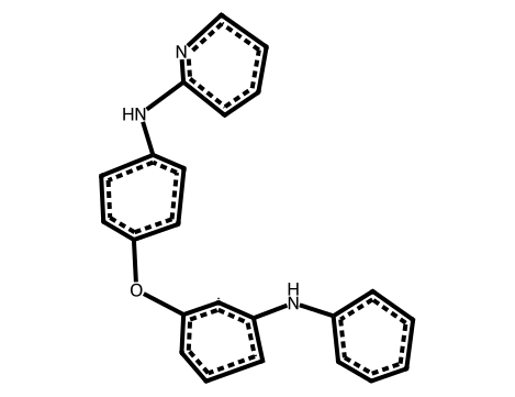 [c]1c(Nc2ccccc2)cccc1Oc1ccc(Nc2ccccn2)cc1